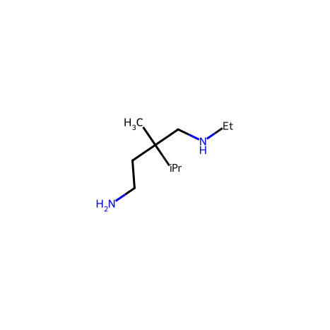 CCNCC(C)(CCN)C(C)C